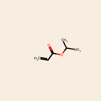 C=CC(=O)OC(C)[N+](=O)[O-]